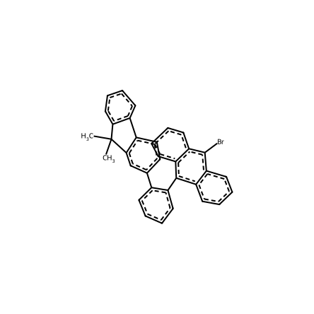 CC1(C)c2ccccc2-c2ccc(-c3ccccc3-c3c4ccccc4c(Br)c4ccccc34)cc21